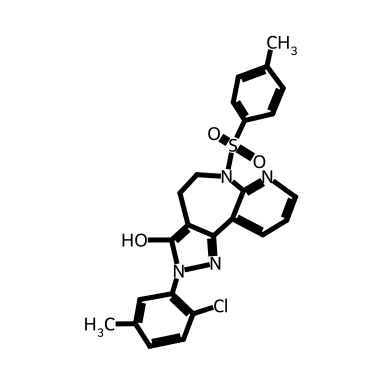 Cc1ccc(S(=O)(=O)N2CCc3c(nn(-c4cc(C)ccc4Cl)c3O)-c3cccnc32)cc1